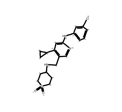 O=S1(=O)CCC(NCc2cnc(Nc3cccc(Cl)c3)cc2C2CC2)CC1